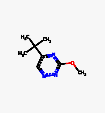 COc1nncc(C(C)(C)C)n1